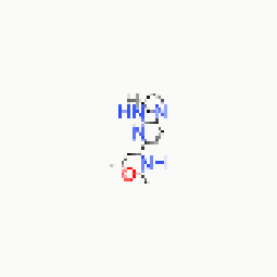 C[C@@H]1CC(c2ccc3c(n2)N[C@H]2CCN3C2)N[C@@H](C)O1